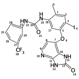 Cc1cc(I)c(Oc2ccnc3[nH]c(=O)[nH]c23)cc1NC(=O)Nc1cccc(C(F)(F)F)c1